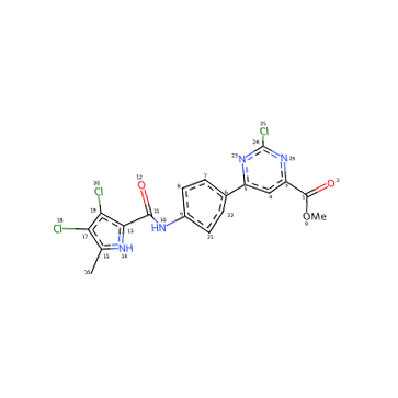 COC(=O)c1cc(-c2ccc(NC(=O)c3[nH]c(C)c(Cl)c3Cl)cc2)nc(Cl)n1